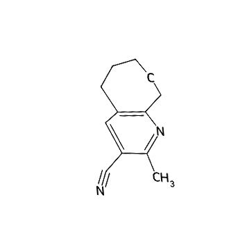 Cc1nc2c(cc1C#N)CCCCC2